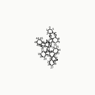 c1ccc2c(c1)Sc1cccc(-c3nc(-n4c5ccccc5c5c6c7ccccc7sc6c6ccccc6c54)c4sc5ccccc5c4n3)c1S2